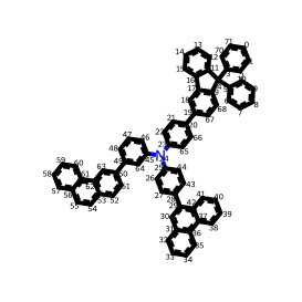 c1ccc(C2(c3ccccc3)c3ccccc3-c3cc(-c4ccc(N(c5ccc(-c6cc7ccccc7c7ccccc67)cc5)c5cccc(-c6ccc7ccc8ccccc8c7c6)c5)cc4)ccc32)cc1